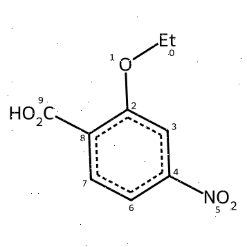 CCOc1cc([N+](=O)[O-])ccc1C(=O)O